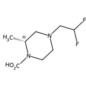 C[C@@H]1CN(CC(F)F)CCN1C(=O)O